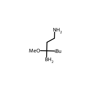 BC(CCN)(OC)C(C)CC